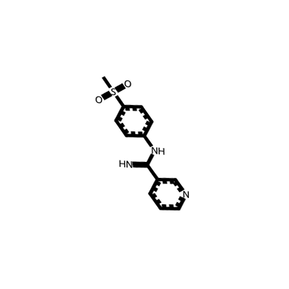 CS(=O)(=O)c1ccc(NC(=N)c2cccnc2)cc1